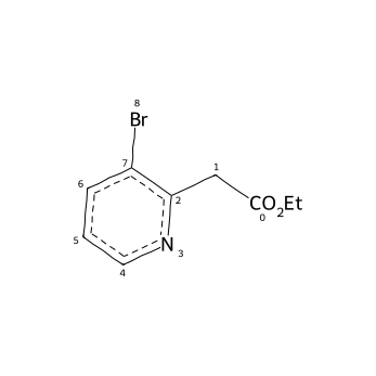 CCOC(=O)Cc1ncccc1Br